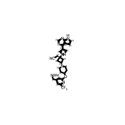 CNCc1cc(OC2CCN([C@H]3C[C@](CC#N)(n4cc(-c5ncnc6[nH]ccc56)cn4)C3)CC2)nc(C(F)(F)F)c1